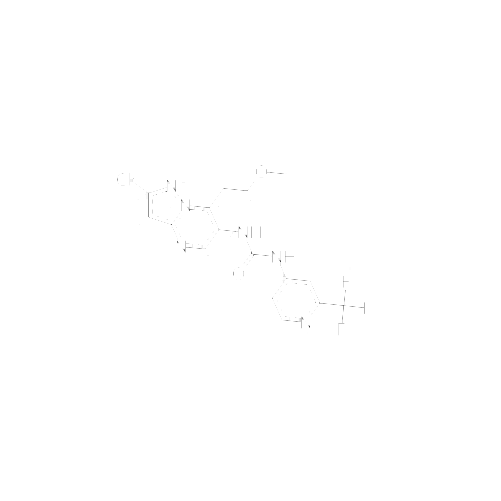 COCCc1c(NC(=O)Nc2ccnc(C(F)(F)F)c2)cnc2cc(Cl)nn12